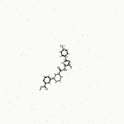 COC(=O)c1cccc(N2CCCC(C(=O)Nc3sc(-c4ccc(Cl)cc4)nc3C)C2)c1